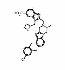 C[C@H]1Cn2c(nc3c(Cc4ccc(Cl)cc4F)cccc32)CN1Cc1nc2ccc(C(=O)O)cc2n1C[C@@H]1CCO1